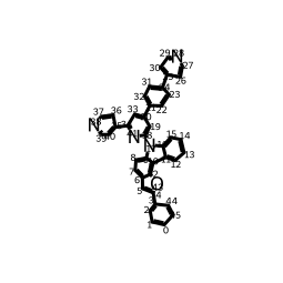 c1ccc(-c2cc3ccc4c(c5ccccc5n4-c4cc(-c5ccc(-c6ccncc6)cc5)cc(-c5ccncc5)n4)c3o2)cc1